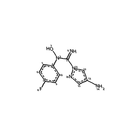 N=C(N(O)c1ccc(F)cc1)n1cc(N)cn1